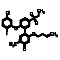 C=CCCOc1cc(=O)n(C)cc1-c1cc(S(=O)(=O)CC)ccc1Oc1cc(Cl)ccc1I